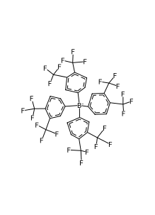 FC(F)(F)c1ccc([B-](c2ccc(C(F)(F)F)c(C(F)(F)F)c2)(c2ccc(C(F)(F)F)c(C(F)(F)F)c2)c2ccc(C(F)(F)F)c(C(F)(F)F)c2)cc1C(F)(F)F